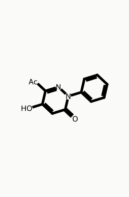 CC(=O)c1nn(-c2ccccc2)c(=O)cc1O